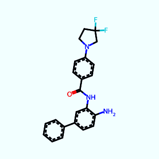 Nc1ccc(-c2ccccc2)cc1NC(=O)c1ccc(N2CCC(F)(F)C2)cc1